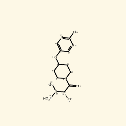 CC(C)[C@@H](C(=O)N1CCC(Oc2cnc(Cl)nc2)CC1)N(C(=O)O)C(C)(C)C